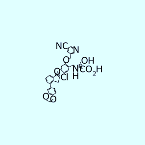 N#Cc1cncc(COc2cc(O[C@H]3CCc4c(-c5ccc6c(c5)OCCO6)cccc43)c(Cl)cc2CN[C@@H](CO)C(=O)O)c1